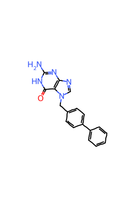 Nc1nc2ncn(Cc3ccc(-c4ccccc4)cc3)c2c(=O)[nH]1